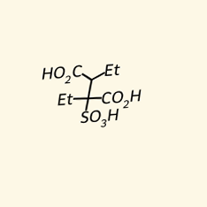 CCC(C(=O)O)C(CC)(C(=O)O)S(=O)(=O)O